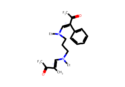 CCN(/C=C(\C)C(=O)C(F)(F)F)CCCN(/C=C(/C(=O)C(F)(F)F)c1ccccc1)CC